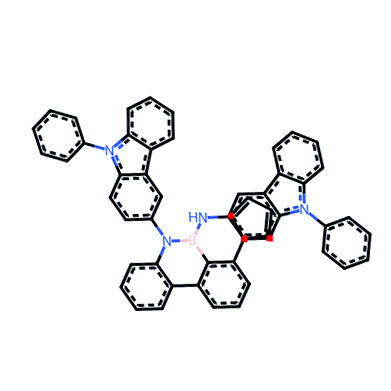 C1=CC(c2cccc3c2B(Nc2ccc4c(c2)c2ccccc2n4-c2ccccc2)N(c2ccc4c(c2)c2ccccc2n4-c2ccccc2)c2ccccc2-3)C=C1